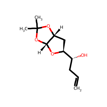 C=CC[C@@H](O)[C@@H]1C[C@H]2OC(C)(C)O[C@H]2O1